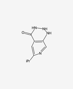 CC(C)c1cc2c(cn1)NNNC2=O